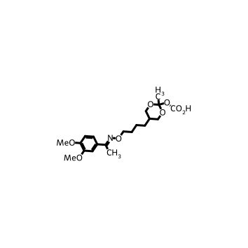 COc1ccc(C(C)=NOCCCCC2COC(C)(OC(=O)O)OC2)cc1OC